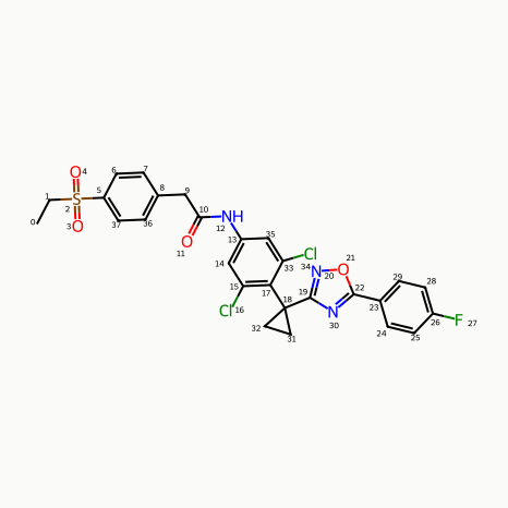 CCS(=O)(=O)c1ccc(CC(=O)Nc2cc(Cl)c(C3(c4noc(-c5ccc(F)cc5)n4)CC3)c(Cl)c2)cc1